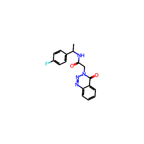 CC(NC(=O)Cn1nnc2ccccc2c1=O)c1ccc(F)cc1